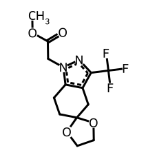 COC(=O)Cn1nc(C(F)(F)F)c2c1CCC1(C2)OCCO1